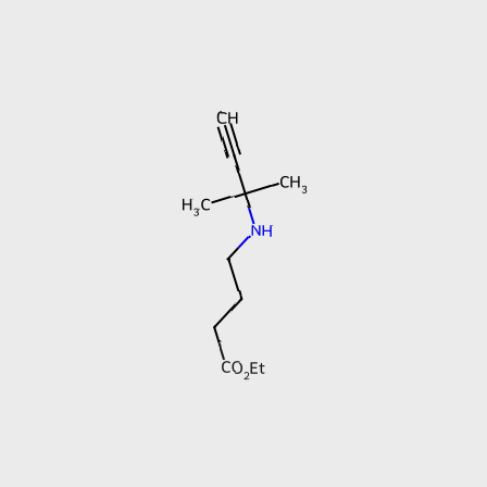 C#CC(C)(C)NCCCC(=O)OCC